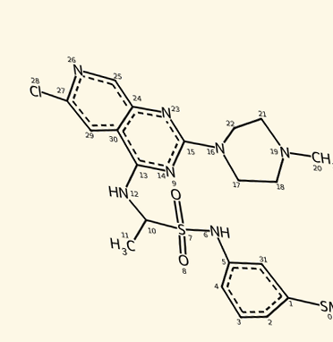 CSc1cccc(NS(=O)(=O)C(C)Nc2nc(N3CCN(C)CC3)nc3cnc(Cl)cc23)c1